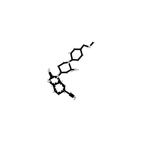 COCC1CCC(N2CCC(n3c(=O)oc4ccc(C#N)cc43)CC2Cl)CC1